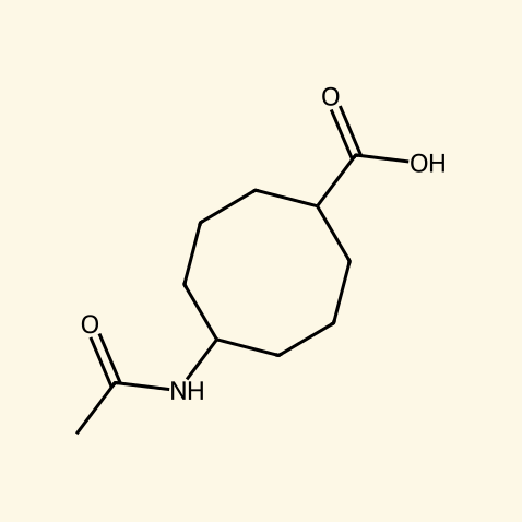 CC(=O)NC1CCCC(C(=O)O)CCC1